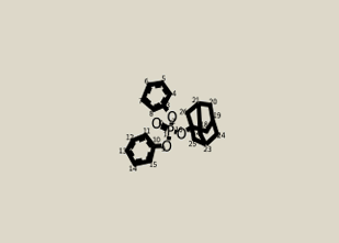 O=P(Oc1ccccc1)(Oc1ccccc1)OC12CC3CC(CC(C3)C1)C2